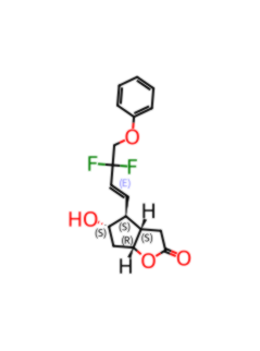 O=C1C[C@H]2[C@H](/C=C/C(F)(F)COc3ccccc3)[C@@H](O)C[C@H]2O1